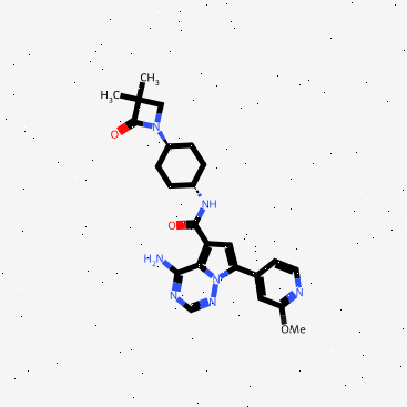 COc1cc(-c2cc(C(=O)N[C@H]3CC[C@H](N4CC(C)(C)C4=O)CC3)c3c(N)ncnn23)ccn1